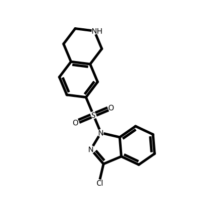 O=S(=O)(c1ccc2c(c1)CNCC2)n1nc(Cl)c2ccccc21